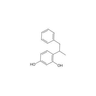 CC(Cc1ccccc1)c1ccc(O)cc1O